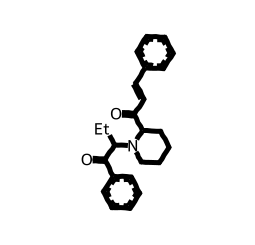 CCC(C(=O)c1ccccc1)N1CCCCC1C(=O)C=Cc1ccccc1